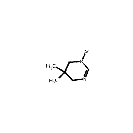 CC(=O)N1[C]=NCC(C)(C)C1